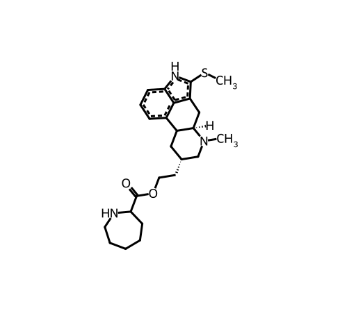 CSc1[nH]c2cccc3c2c1C[C@@H]1C3C[C@@H](CCOC(=O)C2CCCCCN2)CN1C